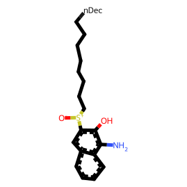 CCCCCCCCCCCCCCCCCC[S+]([O-])c1cc2ccccc2c(N)c1O